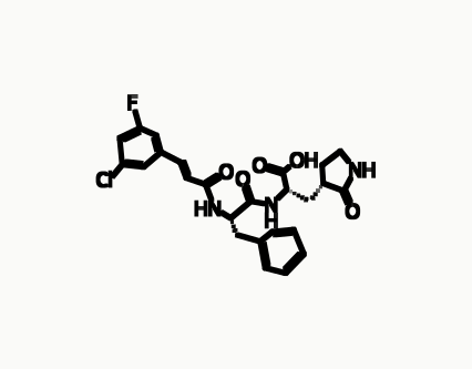 O=C(/C=C/c1cc(F)cc(Cl)c1)N[C@@H](Cc1ccccc1)C(=O)N[C@@H](C[C@@H]1CCNC1=O)C(=O)O